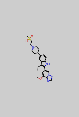 CCc1c(-c2cc(OC)c3ncnn3c2)[nH]c2ccc(C3CCN(CCS(C)(=O)=O)CC3)cc12